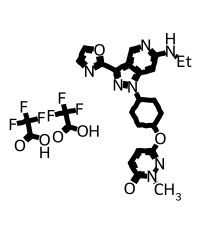 CCNc1cc2c(cn1)c(-c1ncco1)nn2C1CCC(Oc2ccc(=O)n(C)n2)CC1.O=C(O)C(F)(F)F.O=C(O)C(F)(F)F